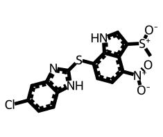 C[S+]([O-])c1c[nH]c2c(Sc3nc4cc(Cl)ccc4[nH]3)ccc([N+](=O)[O-])c12